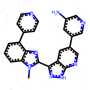 Cn1c(-c2n[nH]c3ncc(-c4cncc(N)c4)cc23)nc2c(-c3ccncc3)cccc21